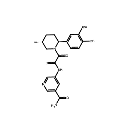 C[C@@H]1CC[C@@H](c2ccc(O)c(C(C)(C)C)c2)N(C(=O)C(=O)Nc2cncc(C(N)=O)c2)C1